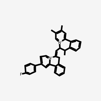 Cc1cc2[n+](cc1C)C(/C=C1\Cc3ccccc3-c3cc(-c4ccc(F)cc4)cc[n+]31)C(C)c1ccccc1-2